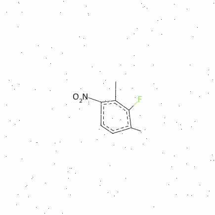 Cc1ccc([N+](=O)[O-])c(C)c1F